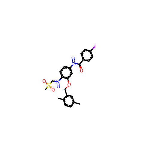 Cc1ccc(C)c(COc2cc(NC(=O)c3ccc(I)cc3)ccc2NCS(C)(=O)=O)c1